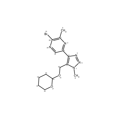 Cc1nc(-c2nnn(C)c2COC2CCCCO2)cnc1Br